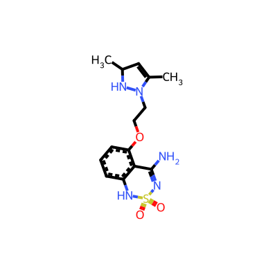 CC1=CC(C)NN1CCOc1cccc2c1C(N)=NS(=O)(=O)N2